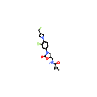 CC(=O)NCC1CN(c2ccc(N3CC(CF)C3)c(F)c2)C(=O)O1